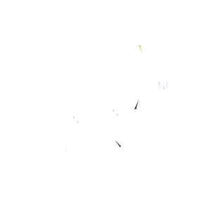 C[C@H]1CN(C(=O)C(F)(F)F)C2(CC2)CN1C(=O)[C@H]1C[C@@H](F)CN1